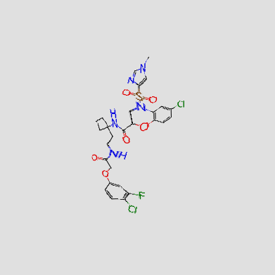 Cn1cnc(S(=O)(=O)N2CC(C(=O)NC3(CCNC(=O)COc4ccc(Cl)c(F)c4)CCC3)Oc3ccc(Cl)cc32)c1